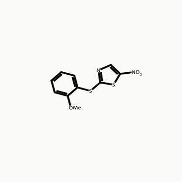 COc1cc[c]cc1Sc1ncc([N+](=O)[O-])s1